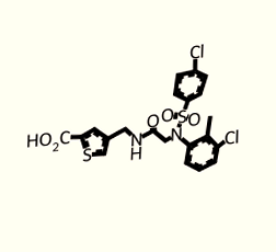 Cc1c(Cl)cccc1N(CC(=O)NCc1csc(C(=O)O)c1)S(=O)(=O)c1ccc(Cl)cc1